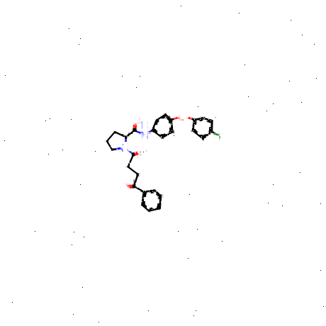 O=C(CCC(=O)N1CCCC1C(=O)Nc1ccc(Oc2ccc(F)cc2)cc1)c1ccccc1